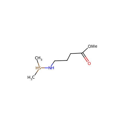 COC(=O)CCCN[SH](C)C